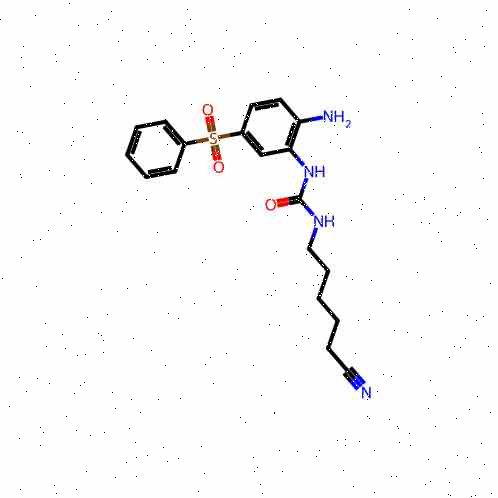 N#CCCCCCNC(=O)Nc1cc(S(=O)(=O)c2ccccc2)ccc1N